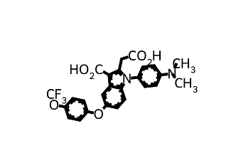 CN(C)c1ccc(-n2c(CC(=O)O)c(C(=O)O)c3cc(Oc4ccc(OC(F)(F)F)cc4)ccc32)cc1